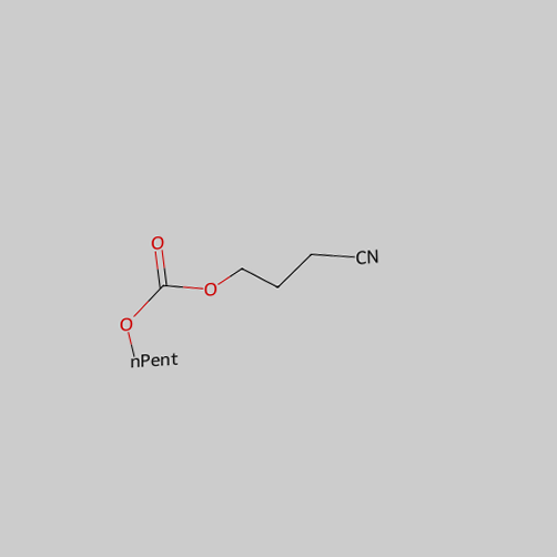 CCCCCOC(=O)OCCCC#N